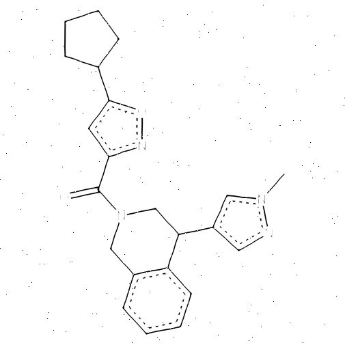 Cn1cc(C2CN(C(=O)c3cc(C4CCCC4)on3)Cc3ccccc32)cn1